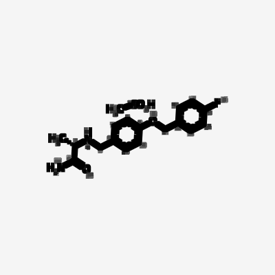 CS(=O)(=O)O.C[C@H](NCc1ccc(OCc2ccc(F)cc2)cc1)C(N)=O